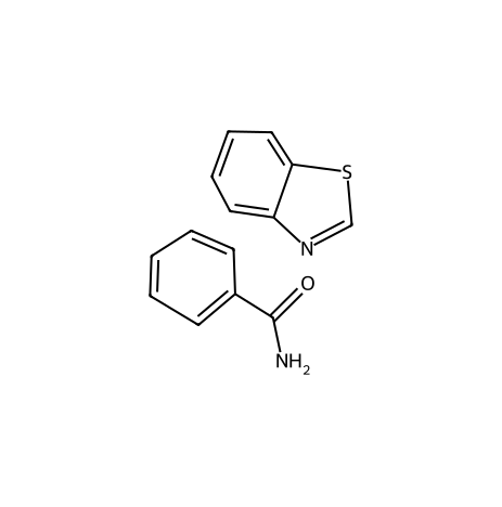 NC(=O)c1ccccc1.c1ccc2scnc2c1